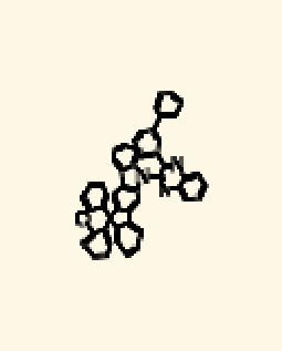 c1ccc(-c2cccc(-c3nc4ccccc4nc3-n3c4ccccc4c4cc5c(cc43)-c3ccccc3C53c4ccccc4Oc4ccccc43)c2)cc1